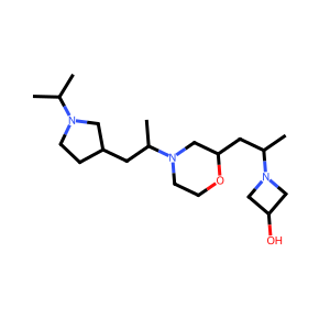 CC(C)N1CCC(CC(C)N2CCOC(CC(C)N3CC(O)C3)C2)C1